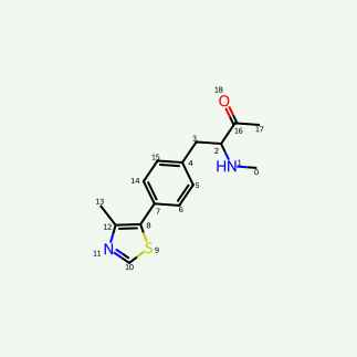 CNC(Cc1ccc(-c2scnc2C)cc1)C(C)=O